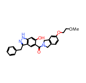 COCCOc1ccc2c(c1)CN(C(=O)c1cc3c(Cc4ccccc4)n[nH]c3cc1O)C2